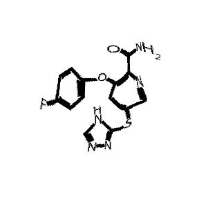 NC(=O)c1ncc(Sc2nnc[nH]2)cc1Oc1ccc(F)cc1